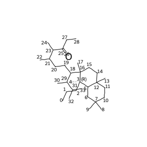 CCC[C@]1(C)C2CC(C)(C)CCC2(C)CCC1(C)C(CCC(C)C(C)C(=O)CC)C(C)C(C)C